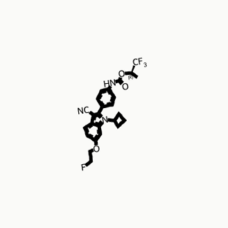 C[C@@H](OC(=O)Nc1ccc(-c2c(C#N)c3ccc(OCCF)cc3n2C2CCC2)cc1)C(F)(F)F